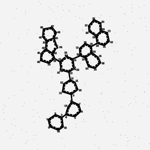 c1ccc(-c2cccc(-c3ccc(-c4nc(-c5ccc(-c6cccc7ccccc67)c6ccccc56)nc(-c5cccc6c5sc5ccccc56)n4)cc3)c2)cc1